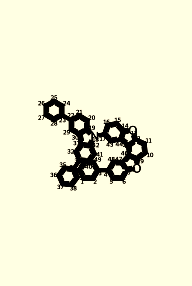 c1ccc(-c2ccc3oc4ccc5oc6ccc(-n7c8ccc(-c9ccccc9)cc8c8cc(-c9ccccc9)ccc87)cc6c5c4c3c2)cc1